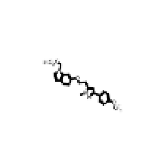 CCOC(=O)Cn1ccc2ccc(OCCc3cc(-c4ccc(OC(F)(F)F)cc4)nn3C)cc21